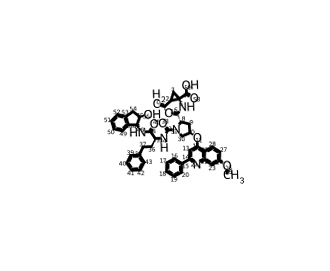 C=CC1C[C@]1(NC(=O)[C@@H]1C[C@@H](Oc2cc(-c3ccccc3)nc3cc(OC)ccc23)CN1C(=O)N[C@@H](CCc1ccccc1)C(=O)NC1c2ccccc2C[C@H]1O)C(=O)O